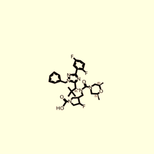 C[C@@H]1CN(C(=O)N(CC2CN(C(=O)O)CC2F)[C@@H](c2nc(-c3cc(F)ccc3F)nn2Cc2ccccc2)C(C)(C)C)C[C@H](C)O1